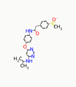 C=C(C)Nc1cc(Oc2ccc(NC(=O)Cc3ccc([S+](C)[O-])cc3)cc2)ncn1